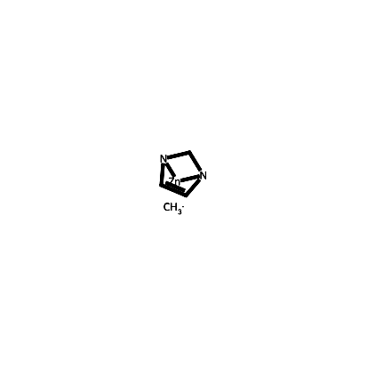 C1=C[N]2C[N]1[Zn]2.[CH3]